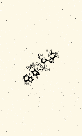 CO[C@H]1[C@@H](OP(=O)(O)OC[C@]23C[C@@H]2[C@@H](n2cnc4c(N)ncnc42)[C@@H]2OP(=O)(O)O[C@@H]23)[C@H](n2cnc3c(=O)[nH]c(N)nc32)O[C@@H]1CO